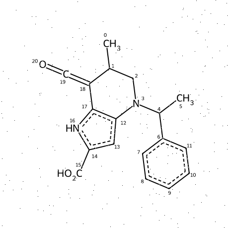 CC1CN(C(C)c2ccccc2)c2cc(C(=O)O)[nH]c2C1=C=O